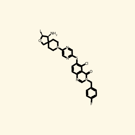 N[C@@H]1[C@H](I)OCC12CCN(c1cnc(Sc3ccc4ncn(Cc5ccc(F)cc5)c(=O)c4c3Cl)cn1)CC2